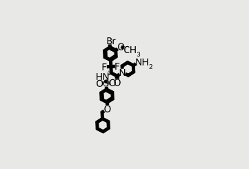 COc1cc(C(F)(F)[C@@H](NS(=O)(=O)c2ccc(OCC3CCCCC3)cc2)C(=O)N2CCC(N)CC2)ccc1Br